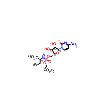 CCOC(=O)COP(=O)(N[C@@H](CC(C)C)C(=O)O)OC[C@H]1O[C@@H](n2ccc(N)nc2=O)[C@@H](O)[C@@H]1O